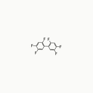 Fc1cc(F)c(-c2cc(F)c(F)cc2F)cc1F